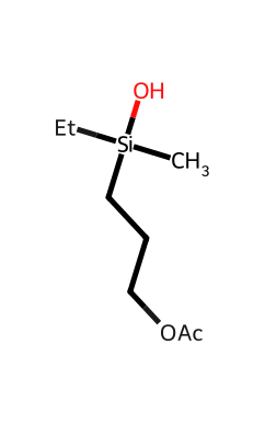 CC[Si](C)(O)CCCOC(C)=O